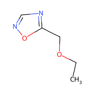 CCOCc1ncno1